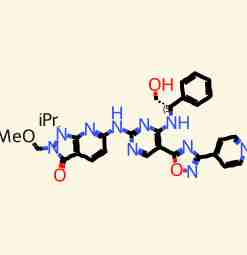 COCn1c(=O)c2ccc(Nc3ncc(-c4nc(-c5ccncc5)no4)c(N[C@H](CO)c4ccccc4)n3)nc2n1C(C)C